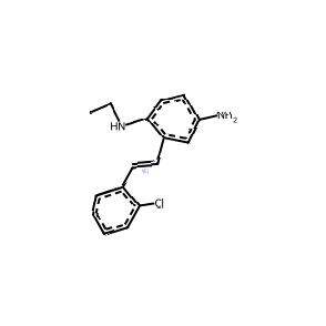 CCNc1ccc(N)cc1/C=C/c1ccccc1Cl